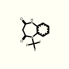 O=C1CC(=O)N(C(F)(F)F)c2ccccc2N1